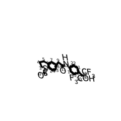 O=S=S1CCCc2cc(CC(=O)Nc3ccc(C(O)(C(F)(F)F)C(F)(F)F)cc3)ccc21